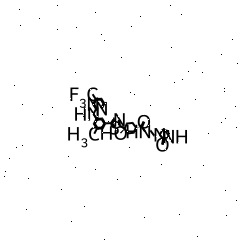 Cc1cc(Nc2nccc(C(F)(F)F)n2)cc(-c2cnc([C@]3(O)CC[C@H](C(=O)NCCN4CCNC4=O)CC3)s2)c1